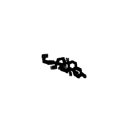 C[C@]12CCC(=O)C=C1CC[C@@H]1[C@@H]2CC[C@@]2(C)[C@H]1CC[C@@]2(O)C#CCO